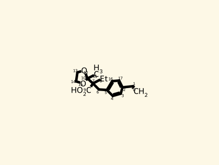 C=Cc1ccc(CC(CC)(C(=O)O)C2(C)OCCO2)cc1